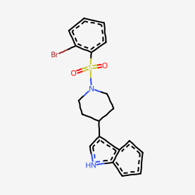 O=S(=O)(c1ccccc1Br)N1CCC(c2c[nH]c3ccccc23)CC1